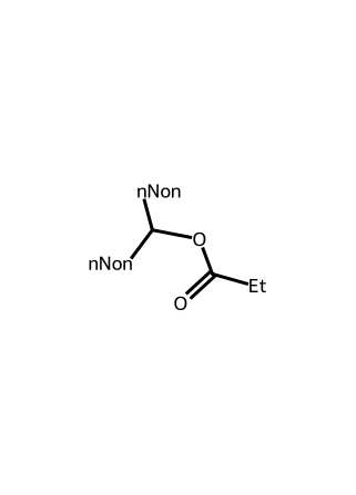 CCCCCCCCCC(CCCCCCCCC)OC(=O)CC